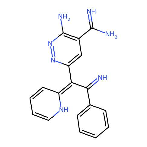 N=C(/C(=C1/C=CC=CN1)c1cc(C(=N)N)c(N)nn1)c1ccccc1